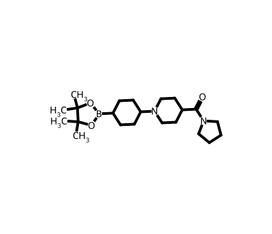 CC1(C)OB(C2CCC(N3CCC(C(=O)N4CCCC4)CC3)CC2)OC1(C)C